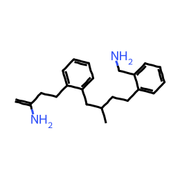 C=C(N)CCc1ccccc1CC(C)CCc1ccccc1CN